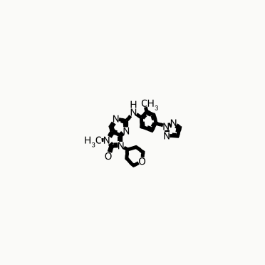 Cc1cc(-n2nccn2)ccc1Nc1ncc2c(n1)n(C1CCOCC1)c(=O)n2C